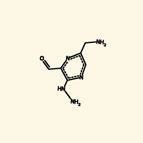 NCc1cnc(NN)c(C=O)n1